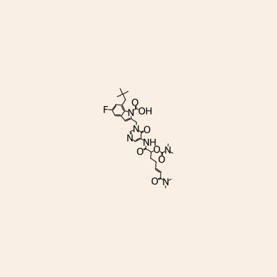 CN(C)C(=O)C=CCCC(OC(=O)N(C)C)C(=O)Nc1cncn(Cc2cc3cc(F)cc(CC(C)(C)C)c3n2C(=O)O)c1=O